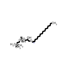 CCCCCCCCCCCCCC/C=C\OC[C@@H](O)COP(=O)(O)OCC[N+](C)(C)C